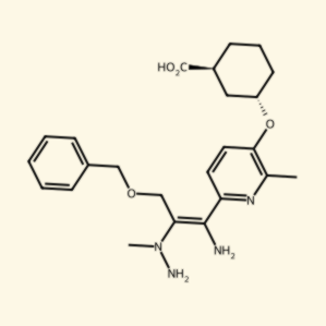 Cc1nc(/C(N)=C(\COCc2ccccc2)N(C)N)ccc1O[C@H]1CCC[C@H](C(=O)O)C1